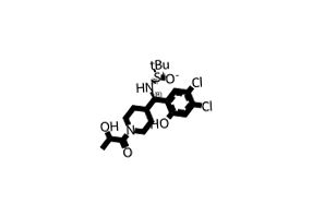 CC(O)C(=O)N1CCC([C@@H](N[S@@+]([O-])C(C)(C)C)c2cc(Cl)c(Cl)cc2O)CC1